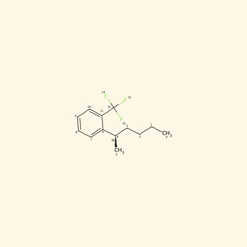 CCCC[C@@H](C)c1ccccc1C(F)(F)F